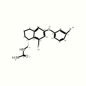 NC(=O)NC[C@@H]1CCCc2cc(Sc3cccc(F)c3)cc(F)c21